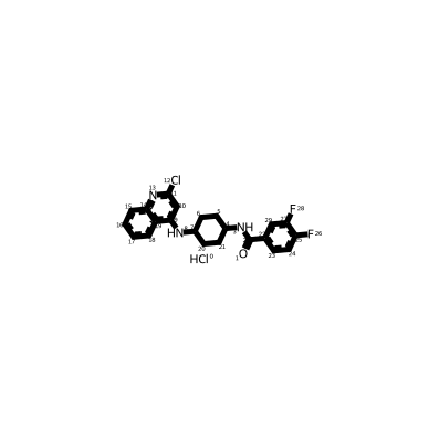 Cl.O=C(NC1CCC(Nc2cc(Cl)nc3ccccc23)CC1)c1ccc(F)c(F)c1